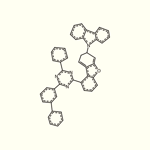 C1=c2oc3cccc(-c4nc(-c5ccccc5)nc(-c5cccc(-c6ccccc6)c5)n4)c3c2=CCC1n1c2ccccc2c2ccccc21